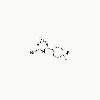 FC1(F)CCN(c2cncc(Br)n2)CC1